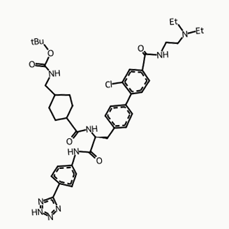 CCN(CC)CCNC(=O)c1ccc(-c2ccc(C[C@H](NC(=O)C3CCC(CNC(=O)OC(C)(C)C)CC3)C(=O)Nc3ccc(-c4nn[nH]n4)cc3)cc2)c(Cl)c1